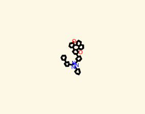 c1ccc(-c2cccc(-c3nc(-c4ccccc4)nc(-c4cccc(-c5ccc6c7c5oc5ccc8ccc9oc%10cccc-6c%10c9c8c57)c4)n3)c2)cc1